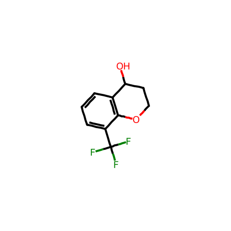 OC1CCOc2c1cccc2C(F)(F)F